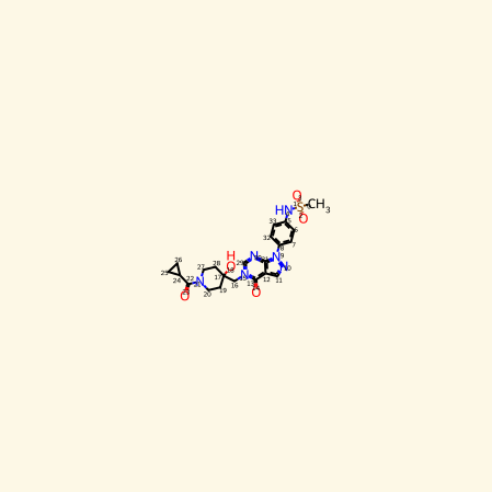 CS(=O)(=O)Nc1ccc(-n2ncc3c(=O)n(CC4(O)CCN(C(=O)C5CC5)CC4)cnc32)cc1